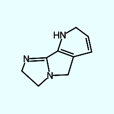 C1=CC2=C(NC1)C1=NCCN1C2